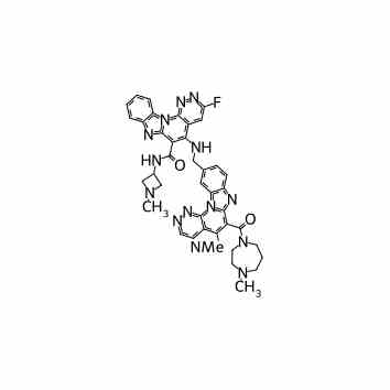 CNc1c(C(=O)N2CCCN(C)CC2)c2nc3ccc(CNc4c(C(=O)NC5CN(C)C5)c5nc6ccccc6n5c5nnc(F)cc45)cc3n2c2nnccc12